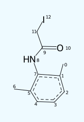 Cc1cccc(C)c1NC(=O)CI